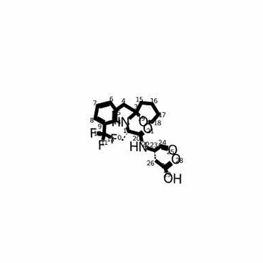 C[C@H](NC1(Cc2cccc(C(F)(F)F)c2)CCCCO1)C(=O)N[C@H](C=O)CC(=O)O